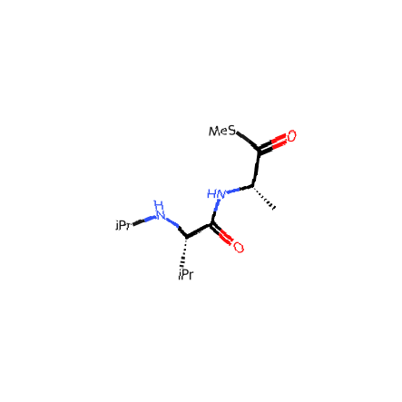 CSC(=O)[C@H](C)NC(=O)[C@@H](NC(C)C)C(C)C